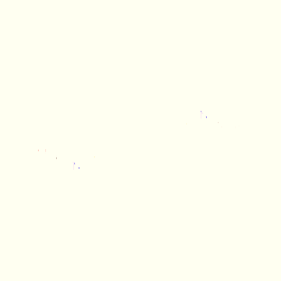 O=C=NSCc1ccc(CSN=C=O)cc1